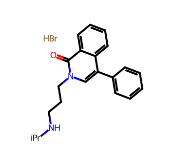 Br.CC(C)NCCCn1cc(-c2ccccc2)c2ccccc2c1=O